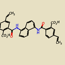 C=Cc1ccc(C(=O)Nc2cccc3c(NC(=O)c4cc(C=C)ccc4C(=O)O)cccc23)c(C(=O)O)c1